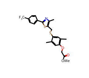 COC(=O)COc1cc(C)c(SCc2sc(-c3ccc(C(F)(F)F)cc3)nc2C)cc1C